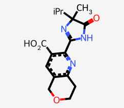 CC(C)C1(C)N=C(c2nc3c(cc2C(=O)O)COCC3)NC1=O